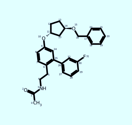 CC(=O)NCCc1ccc(O[C@@H]2CC[C@@H](OCc3ccccc3)C2)cc1-c1cccc(F)c1